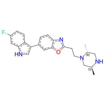 C[C@@H]1CN[C@@H](C)CN1CCc1nc2ccc(-c3c[nH]c4cc(F)ccc34)cc2o1